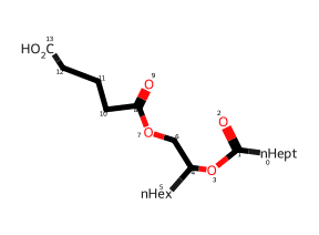 CCCCCCCC(=O)OC(CCCCCC)COC(=O)CCCC(=O)O